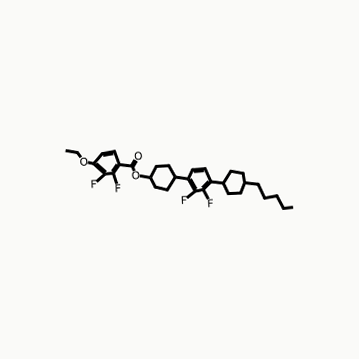 CCCCCC1CCC(c2ccc(C3CCC(OC(=O)c4ccc(OCC)c(F)c4F)CC3)c(F)c2F)CC1